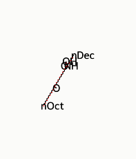 CCCCCCCCC=CCCCCCCCCCCCC(=O)CCCCCCCCCCCCCCC(=O)N[C@H](CO)CCCCCCCCCCCCCCCC